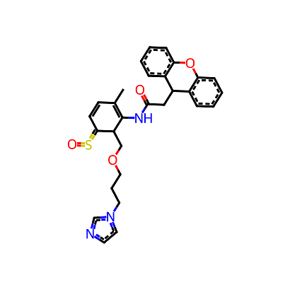 CC1=C(NC(=O)CC2c3ccccc3Oc3ccccc32)C(COCCCn2ccnc2)C(=S=O)C=C1